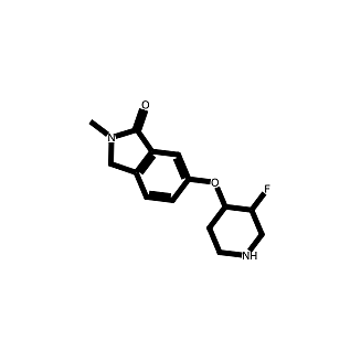 CN1Cc2ccc(OC3CCNCC3F)cc2C1=O